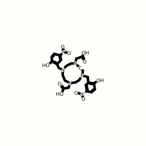 O=C(O)CN1CCN(Cc2cc([N+](=O)[O-])ccc2O)CCN(CC(=O)O)CCN(Cc2cc([N+](=O)[O-])ccc2O)CC1